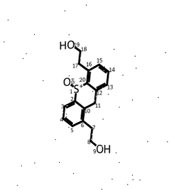 [O-][S+]1c2cccc(CCO)c2Cc2cccc(CCO)c21